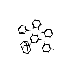 CCc1cccc(N2c3ccccc3B3c4ccccc4N(c4ccccc4)c4cc(C56CC7CC(CC(C7)C5)C6)cc2c43)c1